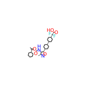 Cc1noc(-c2ccc(-c3ccc(C(F)(F)C(=O)O)cc3)cc2)c1NC(=O)O[C@H](C)c1ccccc1